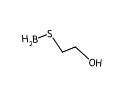 BSCCO